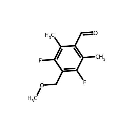 COCc1c(F)c(C)c(C=O)c(C)c1F